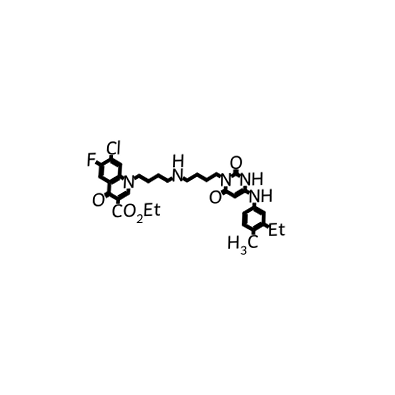 CCOC(=O)c1cn(CCCCNCCCCn2c(=O)cc(Nc3ccc(C)c(CC)c3)[nH]c2=O)c2cc(Cl)c(F)cc2c1=O